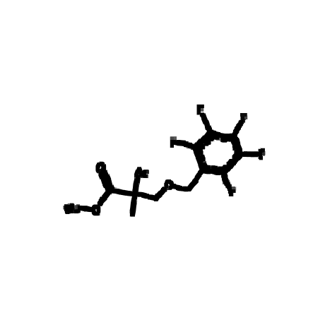 CC(=O)C(C)(COCc1c(F)c(F)c(F)c(F)c1F)C(=O)OC(C)(C)C